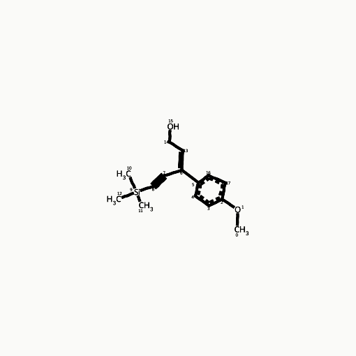 COc1ccc(C(C#C[Si](C)(C)C)=CCO)cc1